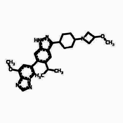 COc1cc(-c2cc3[nH]nc(C4CCC(N5CC(OC)C5)CC4)c3cc2C(C)C)cn2ncnc12